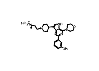 O=C(O)NCCN1CCC(c2c[nH]c3c(N4CCOCC4)nc(-c4cccc(O)c4)nc23)CC1